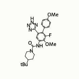 COc1ccc(-c2c(-c3nn[nH]n3)cc(NC(=O)N3CCC(C(C)(C)C)CC3)c(OC)c2F)cc1